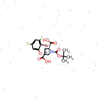 CC(C)(C)OC(=O)N1C[C@@](Oc2cc(F)cc(F)c2Br)(C(=O)O)C[C@H]1C(=O)O